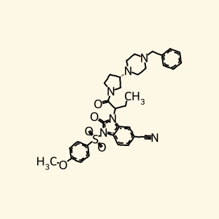 CCC(C(=O)N1CC[C@H](N2CCN(Cc3ccccc3)CC2)C1)n1c(=O)n(S(=O)(=O)c2ccc(OC)cc2)c2ccc(C#N)cc21